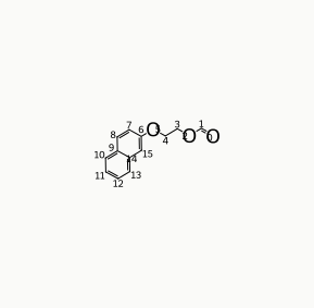 O=COCCOc1ccc2ccccc2c1